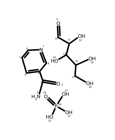 NC(=O)c1cccnc1.O=CC(O)C(O)C(O)CO.O=P(O)(O)O